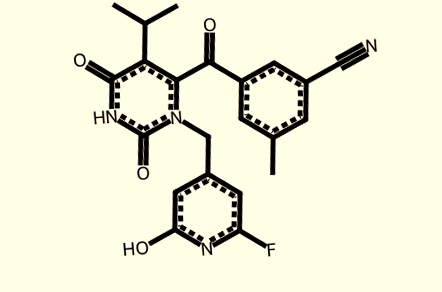 Cc1cc(C#N)cc(C(=O)c2c(C(C)C)c(=O)[nH]c(=O)n2Cc2cc(O)nc(F)c2)c1